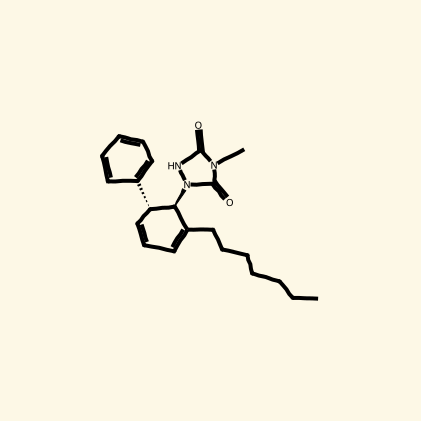 CCCCCCCC1=CC=C[C@H](c2ccccc2)[C@H]1n1[nH]c(=O)n(C)c1=O